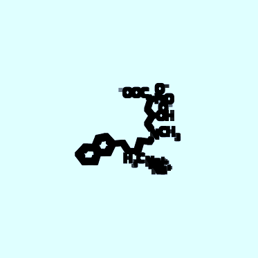 CC(=CCN(C)CC(O)CC(C(=O)[O-])P(=O)([O-])[O-])CCc1ccc2ccccc2c1.[Na+].[Na+].[Na+]